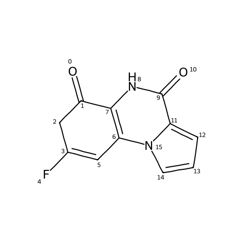 O=C1CC(F)=Cc2c1[nH]c(=O)c1cccn21